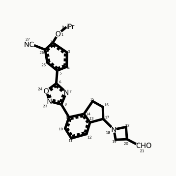 CC(C)Oc1ccc(-c2nc(-c3cccc4c3CCC4N3CC(C=O)C3)no2)cc1C#N